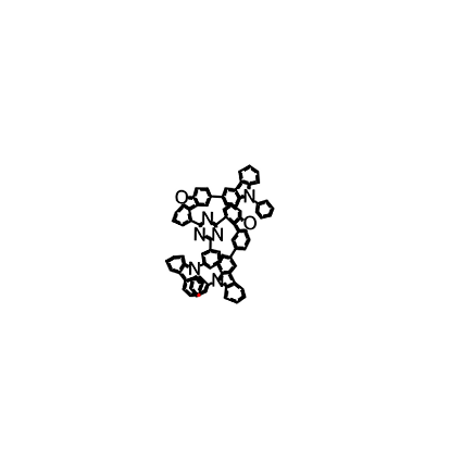 c1ccc(-n2c3ccccc3c3cc(-c4ccc5oc6cccc(-c7nc(-c8cccc(-n9c%10ccccc%10c%10ccccc%109)c8)nc(-c8cccc9oc%10ccc(-c%11ccc%12c(c%11)c%11ccccc%11n%12-c%11ccccc%11)cc%10c89)n7)c6c5c4)ccc32)cc1